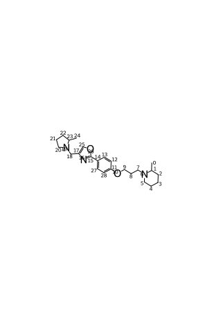 CC1CCCCN1CCCOc1ccc(-c2nc(CN3CCCC3C)co2)cc1